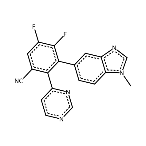 Cn1cnc2cc(-c3c(F)c(F)cc(C#N)c3-c3ccncn3)ccc21